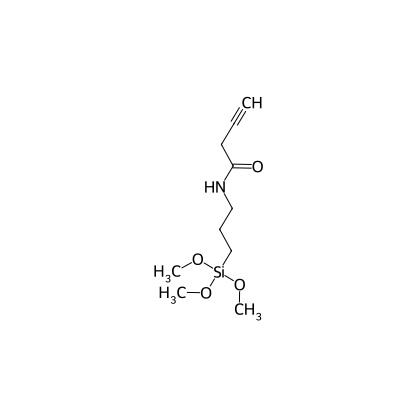 C#CCC(=O)NCCC[Si](OC)(OC)OC